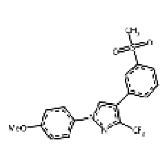 COc1ccc(-n2cc(-c3cccc(S(C)(=O)=O)c3)c(C(F)(F)F)n2)cc1